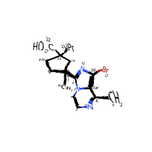 Cc1nccn2c(C3(C)CCC(C(=O)O)(C(C)C)C3)nc(Br)c12